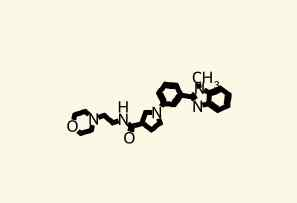 Cn1c(-c2cccc(N3CCC(C(=O)NCCN4CCOCC4)C3)c2)nc2ccccc21